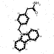 NC(=O)Cc1ccc(Cn2c3ccccc3c3ccccc32)cc1